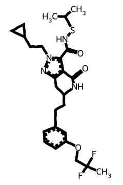 CC(C)SNC(=O)c1c2c(nn1CCC1CC1)CC(CCc1cccc(OCC(C)(F)F)c1)NC2=O